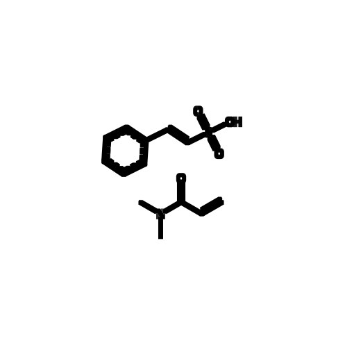 C=CC(=O)N(C)C.O=S(=O)(O)C=Cc1ccccc1